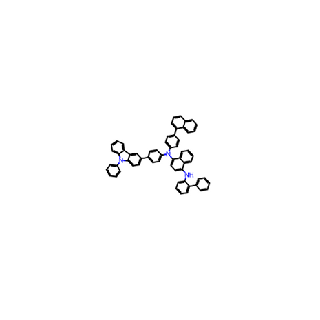 c1ccc(-c2ccccc2Nc2ccc(N(c3ccc(-c4ccc5c(c4)c4ccccc4n5-c4ccccc4)cc3)c3ccc(-c4cccc5ccccc45)cc3)c3ccccc23)cc1